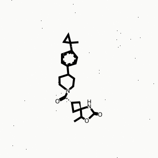 CC1OC(=O)N[C@]12C[C@@H](C(=O)N1CCC(c3ccc(C4(C)CC4)cc3)CC1)C2